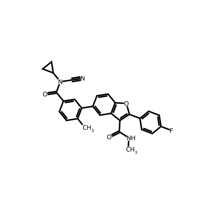 CNC(=O)c1c(-c2ccc(F)cc2)oc2ccc(-c3cc(C(=O)N(C#N)C4CC4)ccc3C)cc12